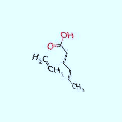 C/C=C/C=C/C(=O)O.C=C